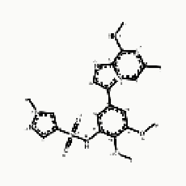 CNc1nc(C)cn2c(-c3cc(NS(=O)(=O)c4cnn(C)c4)c(OC)c(OC)c3)cnc12